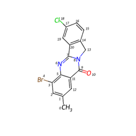 Cc1cc(Br)c2nc3n(c(=O)c2c1)Cc1ccc(Cl)cc1-3